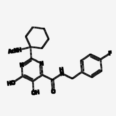 CC(=O)NC1(c2nc(O)c(O)c(C(=O)NCc3ccc(F)cc3)n2)CCCCC1